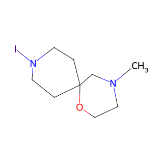 CN1CCOC2(CCN(I)CC2)C1